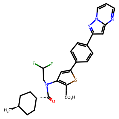 C[C@H]1CC[C@H](C(=O)N(CC(F)F)c2cc(-c3ccc(-c4cc5ncccn5n4)cc3)sc2C(=O)O)CC1